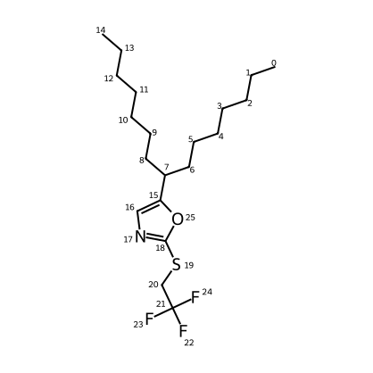 CCCCCCCC(CCCCCCC)c1cnc(SCC(F)(F)F)o1